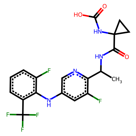 CC(NC(=O)C1(NC(=O)O)CC1)c1ncc(Nc2c(F)cccc2C(F)(F)F)cc1F